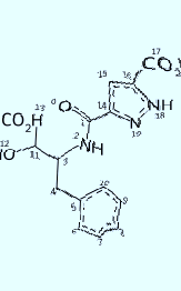 O=C(NC(Cc1ccccc1)C(O)C(=O)O)c1cc(C(=O)O)[nH]n1